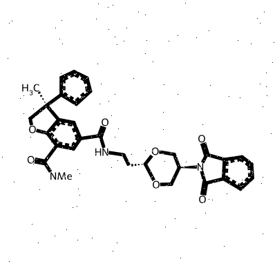 CNC(=O)c1cc(C(=O)NCC[C@H]2OC[C@H](N3C(=O)c4ccccc4C3=O)CO2)cc2c1OC[C@@]2(C)c1ccccc1